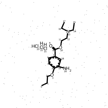 CCCOc1ccc(C(=O)OCCN(CC)CC)cc1N.Cl.Cl.Cl